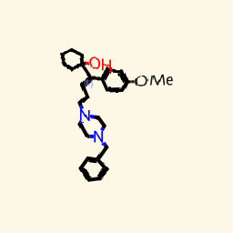 COc1ccc(/C(=C\CCN2CCN(Cc3ccccc3)CC2)C2(O)CCCCC2)cc1